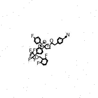 N#Cc1ccc(CC(=O)N2CC[C@](c3ccc(C(OCc4c(F)cccc4F)(C(F)(F)F)C(F)(F)F)cc3)(S(=O)(=O)c3ccc(F)cc3)C2)cc1